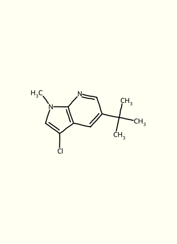 Cn1cc(Cl)c2cc(C(C)(C)C)cnc21